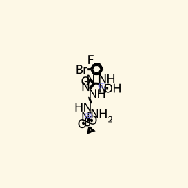 N/C(=N\S(=O)(=O)C1CC1)NCCNc1nonc1/C(=N/O)Nc1ccc(F)c(Br)c1